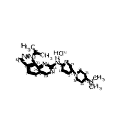 CC(C)n1nnc2ccc3cnc(Nc4ccc(N5CCC(N(C)C)CC5)cn4)nc3c21.Cl